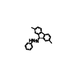 Cc1ccc2c(c1)C(=NNc1ccccc1)c1cc(C)ccc1-2